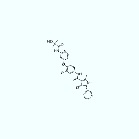 C=C(Nc1ccc(Oc2ccnc(NC(=O)C(C)(C)O)c2)c(F)c1)c1c(C)n(C)n(-c2ccccc2)c1=O